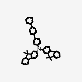 CC1(C)c2ccccc2-c2ccc(N(c3ccc(-c4ccc(-c5ccccc5)cc4)cc3)c3ccc4c(c3)C(C)(C)c3ccccc3-4)cc21